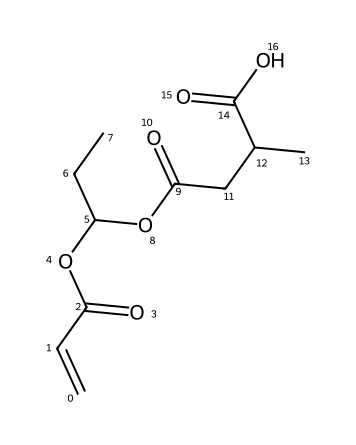 C=CC(=O)OC(CC)OC(=O)CC(C)C(=O)O